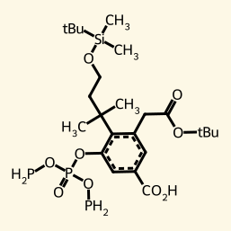 CC(C)(C)OC(=O)Cc1cc(C(=O)O)cc(OP(=O)(OP)OP)c1C(C)(C)CCO[Si](C)(C)C(C)(C)C